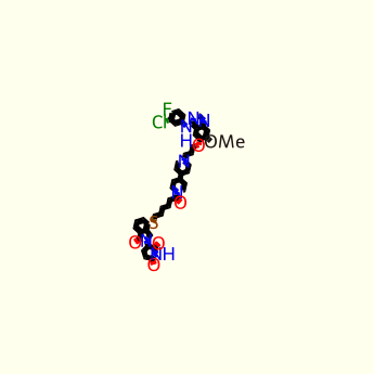 COc1cc2ncnc(Nc3ccc(F)c(Cl)c3)c2cc1OCCCN1CCC(C2CCN(C(=O)CCCCCSc3cccc4c3CN(C3CCC(=O)NC3=O)C4=O)CC2)CC1